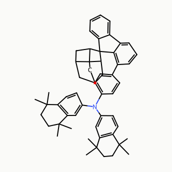 CC1(C)CCC(C)(C)c2cc(N(c3ccc(-c4cccc5c4C4(c6ccccc6-5)C5CC6CC7CC4C75C6)cc3)c3ccc4c(c3)C(C)(C)CCC4(C)C)ccc21